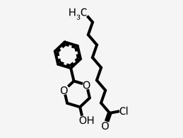 CCCCCCCCCC(=O)Cl.OC1COC(c2ccccc2)OC1